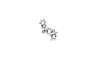 O=C(c1cc2ccccc2s1)N1CCC2(CC1)OCc1ccccc12